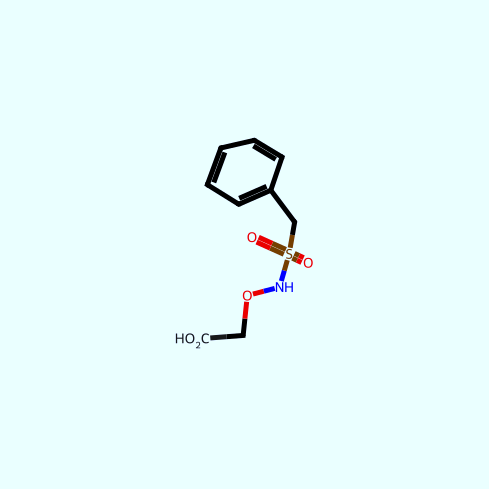 O=C(O)CONS(=O)(=O)Cc1ccccc1